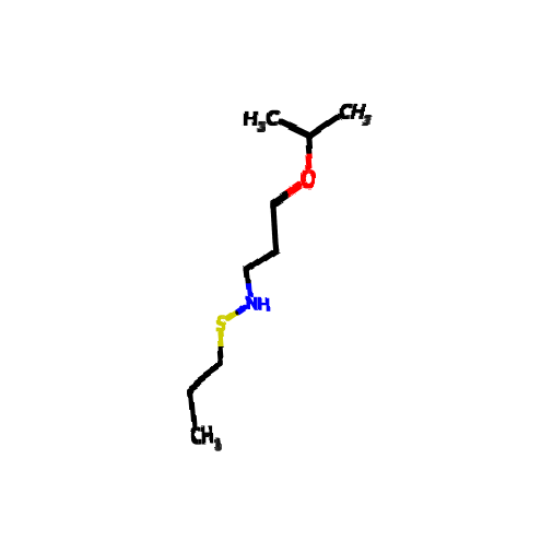 CCCSNCCCOC(C)C